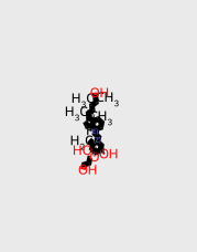 C=C1/C(=C\C=C2/CCC[C@]3(C)[C@@H]([C@H](C)CCCC(C)(C)O)CC[C@@H]23)C[C@@H](O)[C@H](OCCCO)[C@H]1O